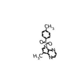 Cc1ccc(S(=O)(=O)n2cc(C)c3nccnc32)cc1